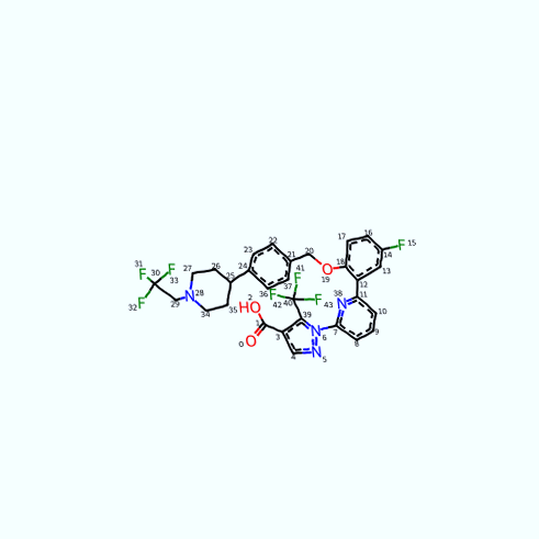 O=C(O)c1cnn(-c2cccc(-c3cc(F)ccc3OCc3ccc(C4CCN(CC(F)(F)F)CC4)cc3)n2)c1C(F)(F)F